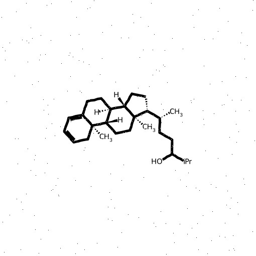 CC(C)C(O)CC[C@@H](C)[C@H]1CC[C@H]2[C@@H]3CCC4=CC=CC[C@]4(C)[C@H]3CC[C@]12C